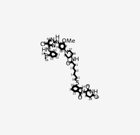 COc1cc(N2CCC(NC(=O)CCCCCCSc3cccc4c3CN(C3CCC(=O)NC3=O)C4=O)CC2)ccc1Nc1ncc(Cl)c(Nc2ccccc2P(C)C)n1